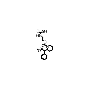 COC(=O)C(c1ccccc1)C1CCCCN1C(=O)OCCNC(=O)S